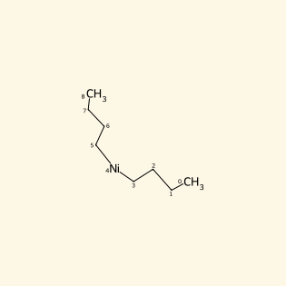 CCC[CH2][Ni][CH2]CCC